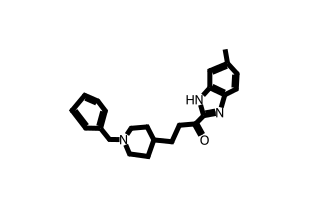 Cc1ccc2nc(C(=O)CCC3CCN(Cc4ccccc4)CC3)[nH]c2c1